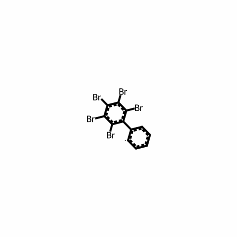 Brc1c(Br)c(Br)c(-c2[c]cccc2)c(Br)c1Br